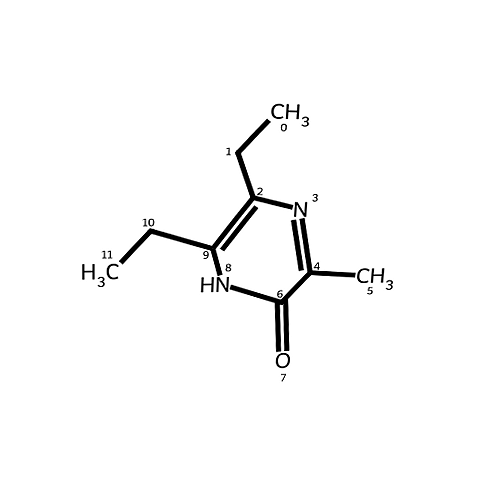 CCc1nc(C)c(=O)[nH]c1CC